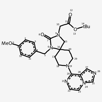 COc1ccc(CN2C(=O)N(CC(=O)OC(C)(C)C)CC23CCN(c2nccn4cncc24)CC3)cc1